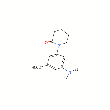 CCN(CC)c1cc(C(=O)O)cc(N2CCCCC2=O)c1